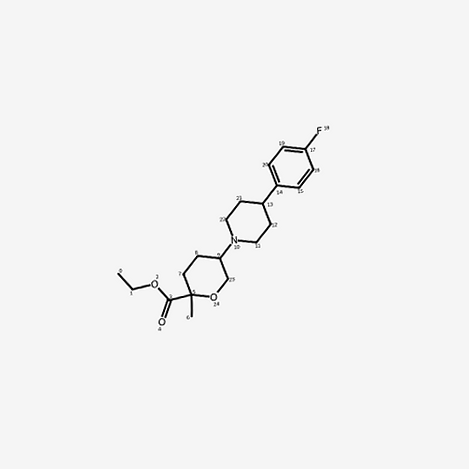 CCOC(=O)C1(C)CCC(N2CCC(c3ccc(F)cc3)CC2)CO1